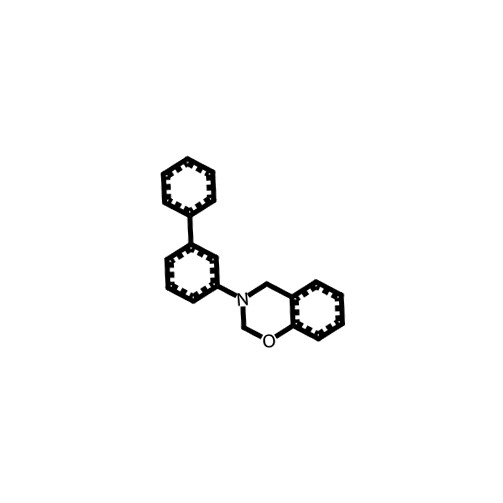 c1ccc(-c2cccc(N3COc4ccccc4C3)c2)cc1